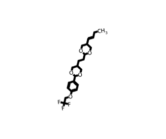 CC/C=C/C1COC(CCC2COC(c3ccc(OCC(F)(F)F)cc3)OC2)OC1